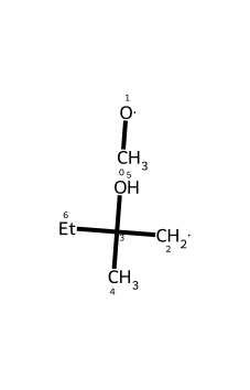 C[O].[CH2]C(C)(O)CC